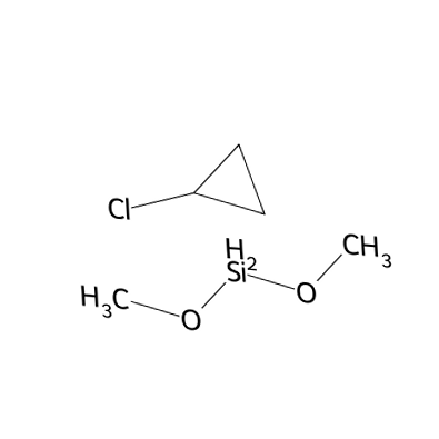 CO[SiH2]OC.ClC1CC1